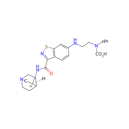 CCCN(CCNc1ccc2c(C(=O)N[C@@H]3CN4CCC3CC4)nsc2c1)C(=O)O